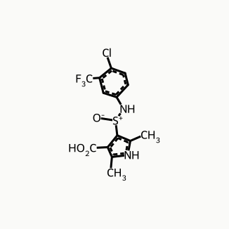 Cc1[nH]c(C)c([S+]([O-])Nc2ccc(Cl)c(C(F)(F)F)c2)c1C(=O)O